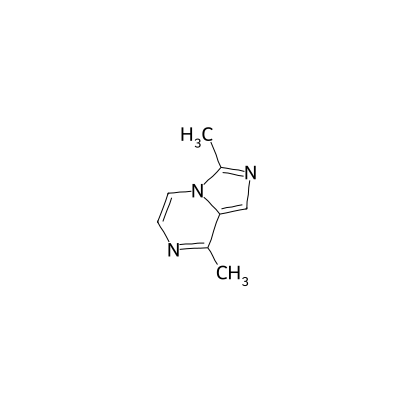 Cc1nccn2c(C)ncc12